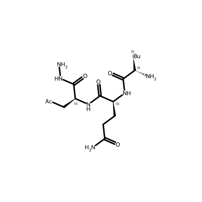 CC[C@H](C)[C@H](N)C(=O)N[C@@H](CCC(N)=O)C(=O)N[C@@H](CC(C)=O)C(=O)NN